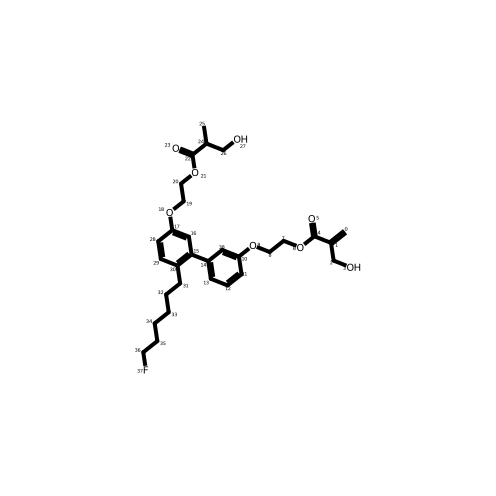 C=C(CO)C(=O)OCCOc1cccc(-c2cc(OCCOC(=O)C(C)CO)ccc2CCCCCCF)c1